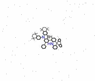 CC1(C)CCC(C)(C)c2cc(N3c4cc5c(cc4Bc4c(-c6cccc7c6Nc6ccccc6C76c7ccccc7-c7ccccc76)cc(-c6ccccc6)cc43)C(C)(C)CCC5(C)C)ccc21